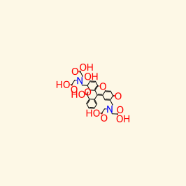 O=C(O)CN(CC(=O)O)Cc1cc2c(-c3ccccc3C(=O)O)c3c(oc-2cc1=O)C=C(O)C(CN(CC(=O)O)CC(=O)O)C3